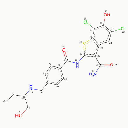 CCC(CO)NCc1ccc(C(=O)Nc2sc3c(Cl)c(O)c(Cl)cc3c2C(N)=O)cc1